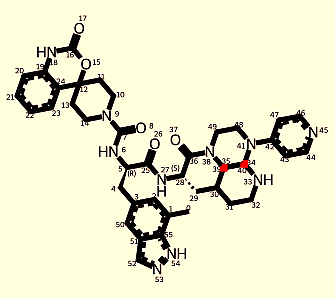 Cc1cc(C[C@@H](NC(=O)N2CCC3(CC2)OC(=O)Nc2ccccc23)C(=O)N[C@@H](CC2CCNCC2)C(=O)N2CCN(c3ccncc3)CC2)cc2cn[nH]c12